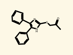 CC(=O)CSc1nc(-c2ccccc2)c(-c2ccccc2)[nH]1